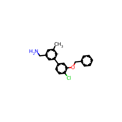 Cc1[c]c(-c2ccc(Cl)c(OCc3ccccc3)c2)cc(CN)c1